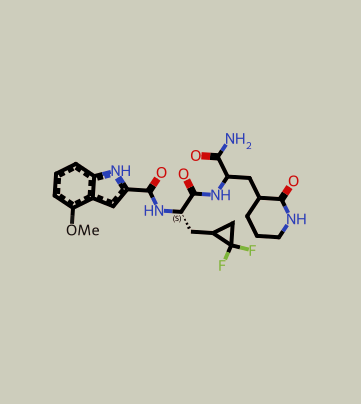 COc1cccc2[nH]c(C(=O)N[C@@H](CC3CC3(F)F)C(=O)NC(CC3CCCNC3=O)C(N)=O)cc12